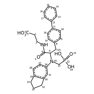 O=C(O)CCNC(=O)C(Cc1ccc(-c2ccccc2)cc1)N(CP(=O)(O)O)c1ccc2c(c1)CCC2